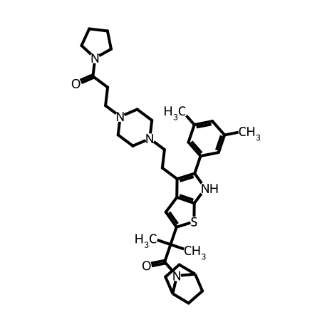 Cc1cc(C)cc(-c2[nH]c3sc(C(C)(C)C(=O)N4C5CCC4CC5)cc3c2CCN2CCN(CCC(=O)N3CCCC3)CC2)c1